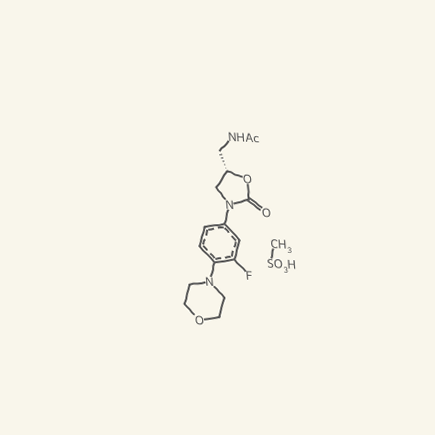 CC(=O)NC[C@H]1CN(c2ccc(N3CCOCC3)c(F)c2)C(=O)O1.CS(=O)(=O)O